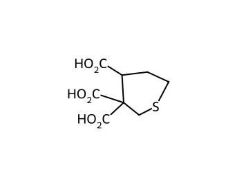 O=C(O)C1CCSCC1(C(=O)O)C(=O)O